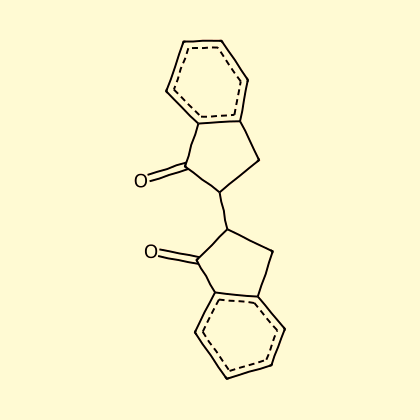 O=C1c2ccccc2CC1C1Cc2ccccc2C1=O